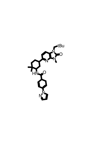 Cn1c(=O)n(CC(C)(C)C)c2ccc(C3CCC(C)(C)C(NC(=O)C4C=CC(n5cccn5)=CC4)C3)nc21